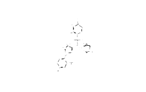 CC(c1cn(-c2ccc(Cl)cc2F)nn1)C(O)(Cn1cncn1)c1ccc(F)cc1F